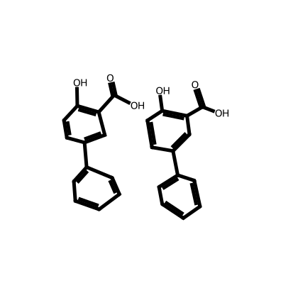 O=C(O)c1cc(-c2ccccc2)ccc1O.O=C(O)c1cc(-c2ccccc2)ccc1O